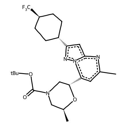 Cc1cc([C@H]2CN(C(=O)OC(C)(C)C)C[C@H](C)O2)n2nc([C@H]3CC[C@H](C(F)(F)F)CC3)cc2n1